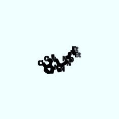 CCN(CC)Cc1nc(-c2ncn3c2CN(C)C(=O)c2c(Cl)cccc2-3)no1